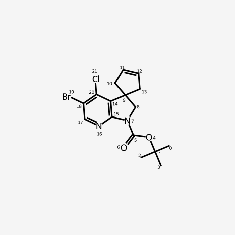 CC(C)(C)OC(=O)N1CC2(CC=CC2)c2c1ncc(Br)c2Cl